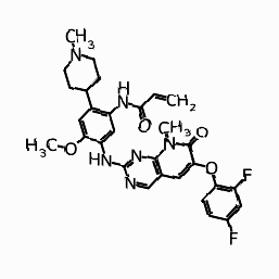 C=CC(=O)Nc1cc(Nc2ncc3cc(Oc4ccc(F)cc4F)c(=O)n(C)c3n2)c(OC)cc1C1CCN(C)CC1